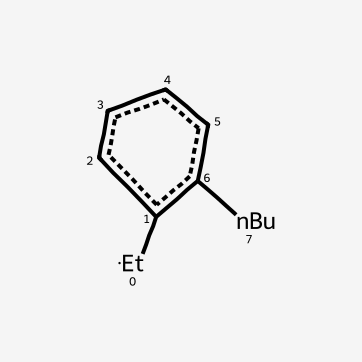 C[CH]c1ccccc1CCCC